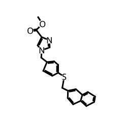 COC(=O)c1cn(Cc2ccc(SCc3ccc4ccccc4c3)cc2)cn1